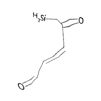 O=C/C=C/C(=O)[SiH3]